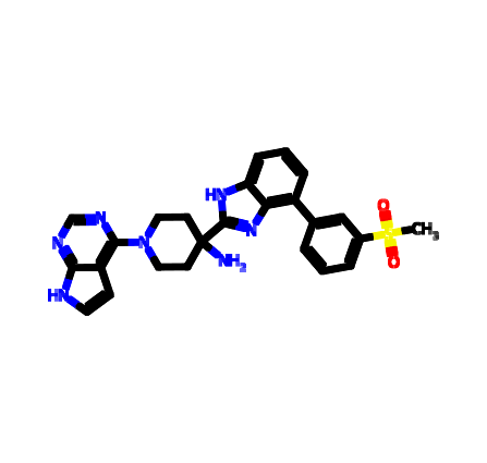 CS(=O)(=O)c1cccc(-c2cccc3[nH]c(C4(N)CCN(c5ncnc6[nH]ccc56)CC4)nc23)c1